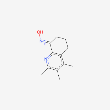 Cc1nc2c(c(C)c1C)CCC/C2=N\O